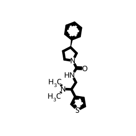 CN(C)C(CNC(=O)N1CC[C@@H](c2ccccc2)C1)c1ccsc1